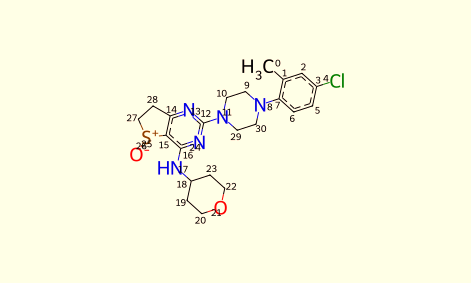 Cc1cc(Cl)ccc1N1CCN(c2nc3c(c(NC4CCOCC4)n2)[S+]([O-])CC3)CC1